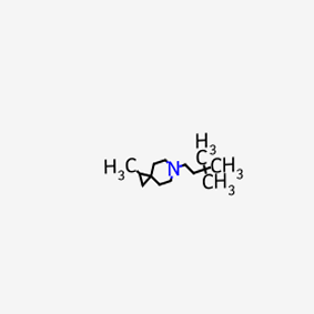 CC1CC12CCN(CCC(C)(C)C)CC2